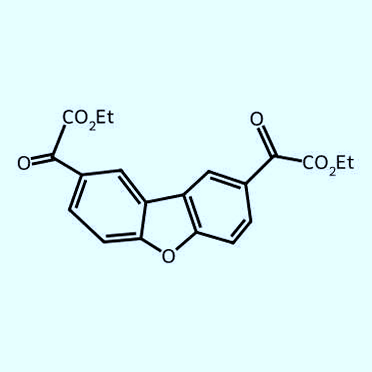 CCOC(=O)C(=O)c1ccc2oc3ccc(C(=O)C(=O)OCC)cc3c2c1